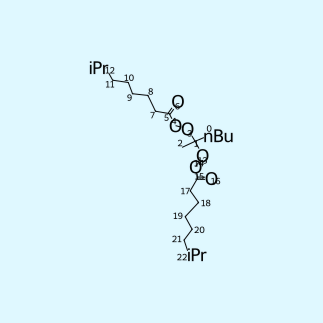 CCCCC(C)(OOC(=O)CCCCCC(C)C)OOC(=O)CCCCCC(C)C